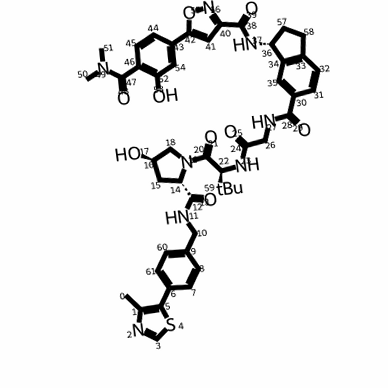 Cc1ncsc1-c1ccc(CNC(=O)[C@@H]2C[C@@H](O)CN2C(=O)[C@@H](NC(=O)CNC(=O)c2ccc3c(c2)[C@H](NC(=O)c2cc(-c4ccc(C(=O)N(C)C)c(O)c4)on2)CC3)C(C)(C)C)cc1